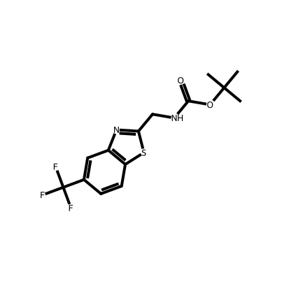 CC(C)(C)OC(=O)NCc1nc2cc(C(F)(F)F)ccc2s1